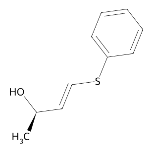 C[C@@H](O)C=CSc1ccccc1